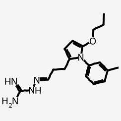 CCCOc1ccc(CCC=NNC(=N)N)n1-c1cccc(C)c1